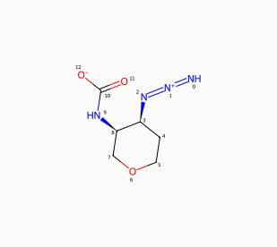 N=[N+]=N[C@H]1CCOC[C@H]1NC(=O)[O-]